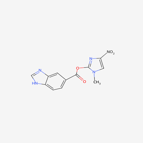 Cn1cc([N+](=O)[O-])nc1OC(=O)c1ccc2[nH]cnc2c1